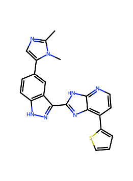 Cc1ncc(-c2ccc3[nH]nc(-c4nc5c(-c6cccs6)ccnc5[nH]4)c3c2)n1C